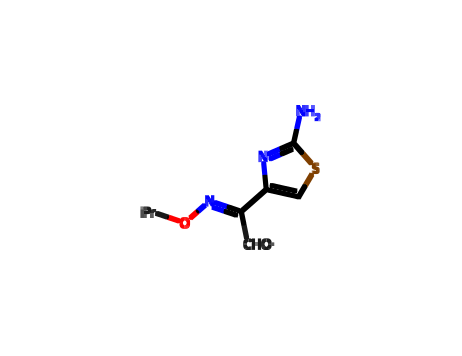 CC(C)O/N=C(\[C]=O)c1csc(N)n1